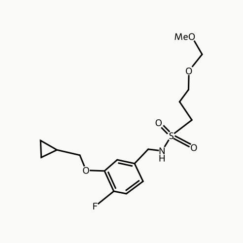 COCOCCCS(=O)(=O)NCc1ccc(F)c(OCC2CC2)c1